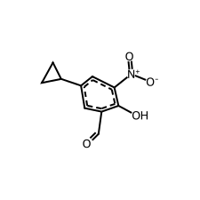 O=Cc1cc(C2CC2)cc([N+](=O)[O-])c1O